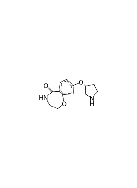 O=C1NCCOc2cc(O[C@@H]3CCNC3)ccc21